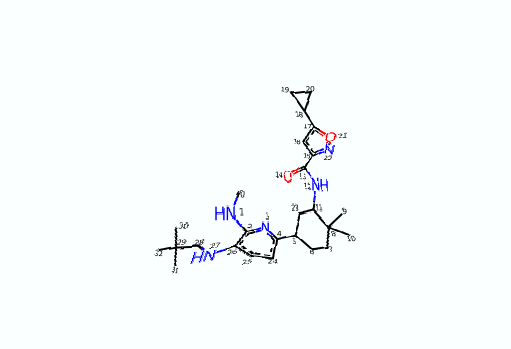 CNc1nc(C2CCC(C)(C)C(NC(=O)c3cc(C4CC4)on3)C2)ccc1NCC(C)(C)C